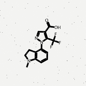 CN1CCc2c1cccc2-n1ncc(C(=O)O)c1C(F)(F)F